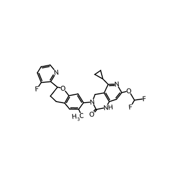 Cc1cc2c(cc1N1Cc3c(cc(OC(F)F)nc3C3CC3)NC1=O)OC(c1ncccc1F)CC2